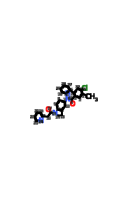 Cc1cc(C(=O)Nc2ccc3c(c2)CCN3C(=O)Cc2ccccn2)c(-c2ccccc2)cc1Cl